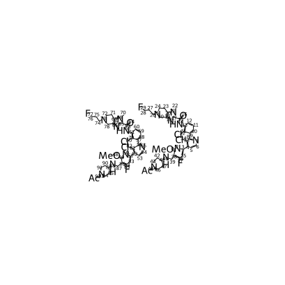 COc1nc(-c2ccnc(-c3cccc(NC(=O)c4nc5c(n4C)CCN(CCCF)C5)c3Cl)c2Cl)cc(F)c1CNC1CCN(C(C)=O)CC1.COc1nc(-c2ccnc(-c3cccc(NC(=O)c4nc5c(n4C)CCN(CCCF)C5)c3Cl)c2Cl)cc(F)c1CNC1CCN(C(C)=O)CC1